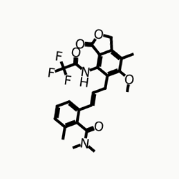 COc1c(C)c2c(c(NC(=O)C(F)(F)F)c1CC=Cc1cccc(C)c1C(=O)N(C)C)C(=O)OC2